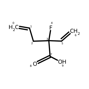 C=CCC(F)(C=C)C(=O)O